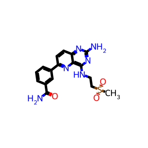 CS(=O)(=O)CCNc1nc(N)nc2ccc(-c3cccc(C(N)=O)c3)nc12